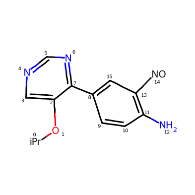 CC(C)Oc1cncnc1-c1ccc(N)c(N=O)c1